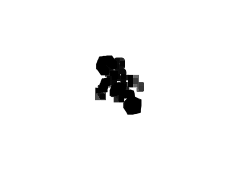 Cc1c(N(CC#N)C(=O)n2ccccc2=O)cnn1CC1CCCC1